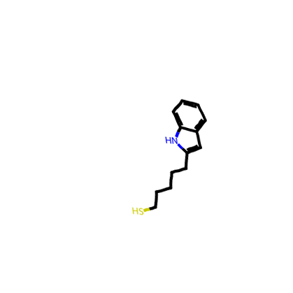 SCCCCCc1cc2ccccc2[nH]1